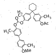 COc1ccc(-c2ccc(OC(=O)Oc3ccc(C4(c5ccc(OC(C)=O)c(C)c5)CCCCC4)cc3C)c(C)c2)cc1C